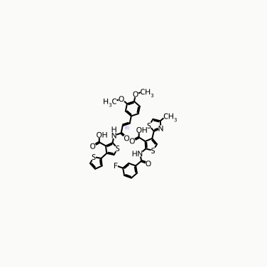 COc1ccc(/C=C/C(=O)Nc2scc(-c3cccs3)c2C(=O)O)cc1OC.Cc1csc(-c2csc(NC(=O)c3cccc(F)c3)c2C(=O)O)n1